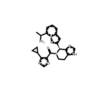 CC(P)c1cccc2cc([C@H]3c4nc[nH]c4CCN3C(=O)c3ocnc3C3CC3)nn12